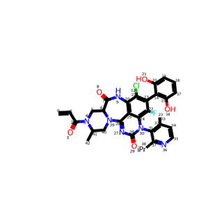 C=CC(=O)N1CC2C(=O)Nc3c(Cl)c(-c4c(O)cccc4O)c(F)c4c3c(nc(=O)n4-c3c(C)ccnc3C(C)C)N2CC1C